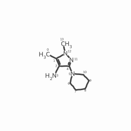 Cc1c(N)c(N2CCCCC2)nn1C